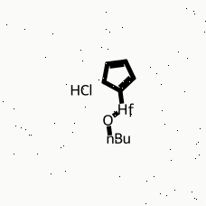 CCCC[O][Hf][C]1=CC=CC1.Cl